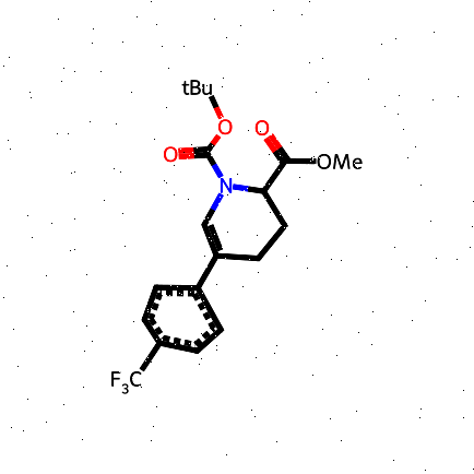 COC(=O)C1CCC(c2ccc(C(F)(F)F)cc2)=CN1C(=O)OC(C)(C)C